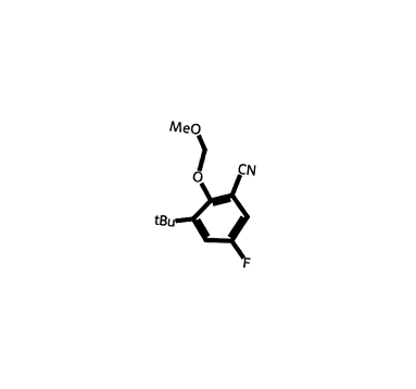 COCOc1c(C#N)cc(F)cc1C(C)(C)C